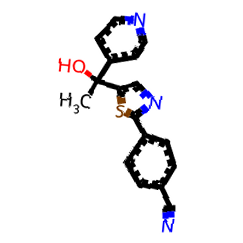 CC(O)(c1ccncc1)c1cnc(-c2ccc(C#N)cc2)s1